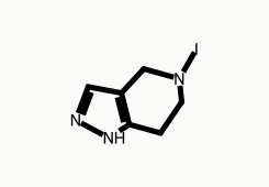 IN1CCc2[nH]ncc2C1